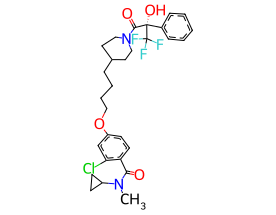 CN(C(=O)c1ccc(OCCCCC2CCN(C(=O)[C@@](O)(c3ccccc3)C(F)(F)F)CC2)cc1Cl)C1CC1